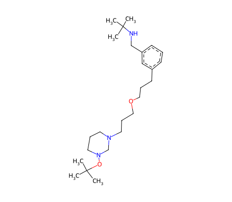 CC(C)(C)NCc1cccc(CCCOCCCN2CCCN(OC(C)(C)C)C2)c1